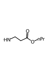 CCCOC(=O)CC[NH]